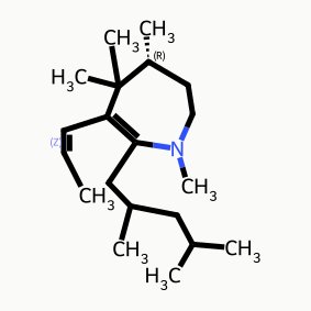 C/C=C\C1=C(CC(C)CC(C)C)N(C)CC[C@@H](C)C1(C)C